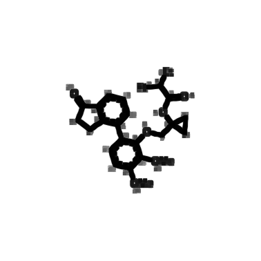 CCC(CC)C(=O)OC1(COc2c(-c3cccc4c3CCC4=O)ccc(OC)c2OC)CC1